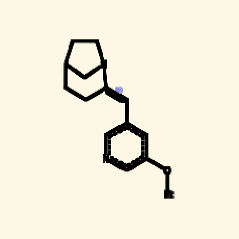 CCOc1cncc(/C=C2\CCC3CCN2C3)c1